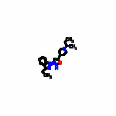 CCc1nn(N2C=C(C3CCN(C(C)CC)CC3)ON2)c2ccccc12